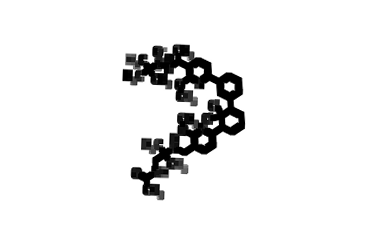 COc1nc(C2C=CC=C(c3cccc(-c4ccc(C(C)N[S@+]([O-])C(C)(C)C)c(OC)n4)c3)C2(Cl)Cl)ccc1CNC(C)(C)CNC(C)=O